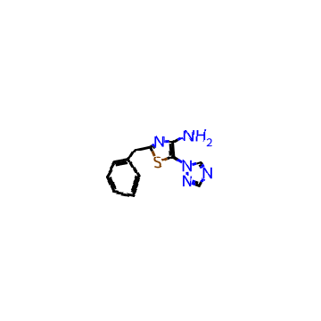 Nc1nc(Cc2ccccc2)sc1-n1cncn1